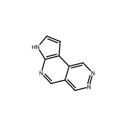 c1cc2c(ncc3cnncc32)[nH]1